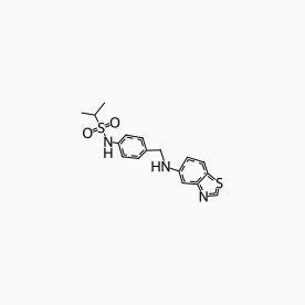 CC(C)S(=O)(=O)Nc1ccc(CNc2ccc3scnc3c2)cc1